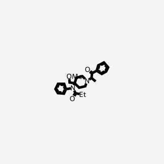 CCC(=O)N(c1ccccc1)C1(COC)CCN(C(C)C(=O)c2ccccc2)CC1